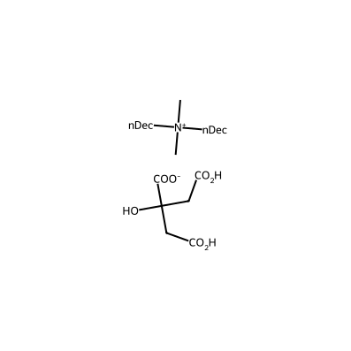 CCCCCCCCCC[N+](C)(C)CCCCCCCCCC.O=C(O)CC(O)(CC(=O)O)C(=O)[O-]